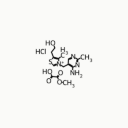 COC(=O)C(=O)O.Cc1ncc(C[n+]2csc(CCO)c2C)c(N)n1.Cl